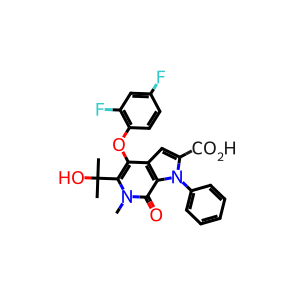 Cn1c(C(C)(C)O)c(Oc2ccc(F)cc2F)c2cc(C(=O)O)n(-c3ccccc3)c2c1=O